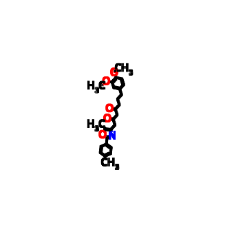 COc1ccc(CCCC(=O)CC(=O)Cc2nc(-c3ccc(C)cc3)oc2C)cc1OC